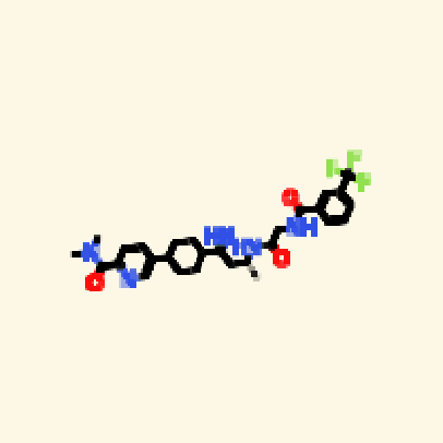 C[C@H](CC(=N)C1CCC(c2ccc(C(=O)N(C)C)nc2)CC1)NC(=O)CNC(=O)c1cccc(C(F)(F)F)c1